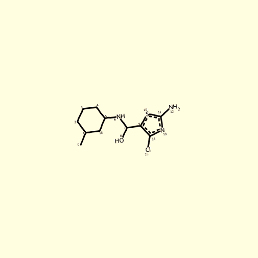 CC1CCCC(NC(O)c2sc(N)nc2Cl)C1